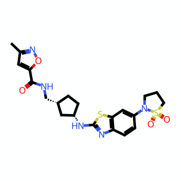 Cc1cc(C(=O)NC[C@@H]2CC[C@H](Nc3nc4ccc(N5CCCS5(=O)=O)cc4s3)C2)on1